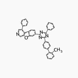 Cc1ccccc1-c1ccc(-c2nc(-c3ccccc3)nc(-c3ccc4c(c3)oc3cncc(-c5ccccc5)c34)n2)cc1